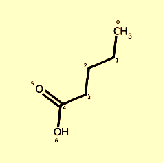 CCC[CH]C(=O)O